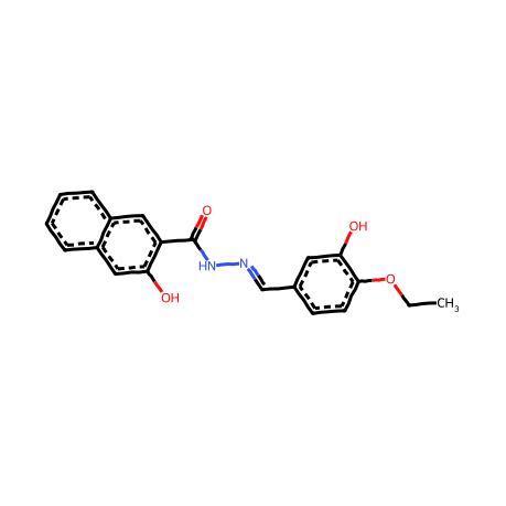 CCOc1ccc(/C=N/NC(=O)c2cc3ccccc3cc2O)cc1O